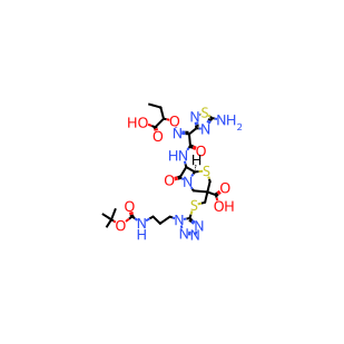 CCC(ON=C(C(=O)NC1C(=O)N2CC(CSc3nnnn3CCCNC(=O)OC(C)(C)C)(C(=O)O)CS[C@H]12)c1nsc(N)n1)C(=O)O